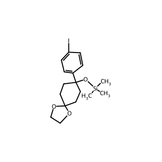 C[Si](C)(C)OC1(c2ccc(I)cc2)CCC2(CC1)OCCO2